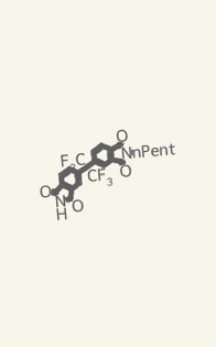 CCCCCN1C(=O)c2ccc(C(c3ccc4c(c3)C(=O)NC4=O)(C(F)(F)F)C(F)(F)F)cc2C1=O